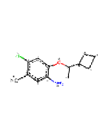 CC(Oc1cc(Cl)c(C#N)cc1N)C1CCC1